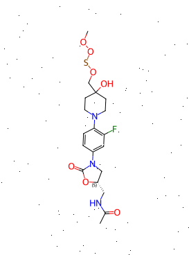 COOSOCC1(O)CCN(c2ccc(N3C[C@H](CNC(C)=O)OC3=O)cc2F)CC1